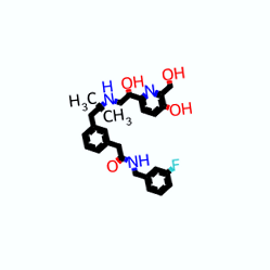 CC(C)(Cc1cccc(CC(=O)NCc2cccc(F)c2)c1)NCC(O)c1ccc(O)c(CO)n1